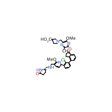 COc1nc(-c2cccc(-c3cccc4c3CC[C@@H]4Oc3nc(OC)c(CN4CC[C@@H](C(=O)O)C4)nc3C)c2Cl)ccc1CNC[C@@H]1CCC(=O)N1